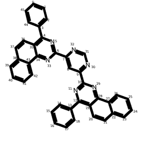 c1ccc(-c2nc(-c3cc(-c4nc(-c5ccccc5)c5ccc6ccccc6c5n4)ncn3)nc3c2ccc2ccccc23)cc1